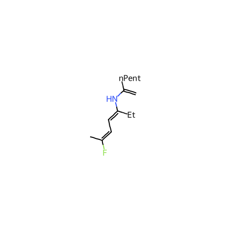 C=C(CCCCC)N/C(=C/C=C(\C)F)CC